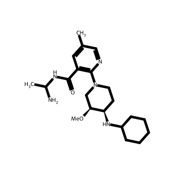 CO[C@H]1CN(c2ncc(C)cc2C(=O)NC(C)N)CC[C@H]1NC1CCCCC1